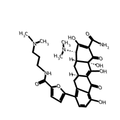 CN(C)CCCNC(=O)c1ccc(-c2ccc(O)c3c2C[C@H]2C[C@H]4[C@H](N(C)C)C(O)=C(C(N)=O)C(=O)[C@@]4(O)C(O)=C2C3=O)o1